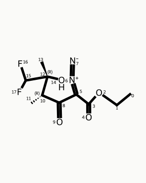 CCOC(=O)C(=[N+]=[N-])C(=O)[C@H](C)[C@@](C)(O)C(F)F